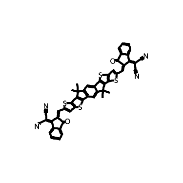 CC1(C)c2cc3c(cc2-c2sc4cc(/C=C5\C(=O)c6ccccc6C5=C(C#N)C#N)sc4c21)C(C)(C)c1c-3sc2cc(/C=C3\C(=O)c4ccccc4C3=C(C#N)C#N)sc12